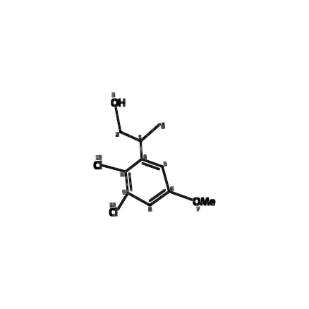 [CH2]C(CO)c1cc(OC)cc(Cl)c1Cl